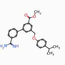 COC(=O)c1cc(COc2ccc(C(C)C)cc2)cc(-c2cccc(C(=N)N)c2)c1